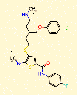 C=Nc1sc(C(=O)Nc2ccc(F)cc2)cc1SCCC(CCNC)COc1ccc(Cl)cc1